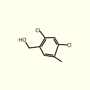 Cc1cc(CO)c(Cl)cc1Cl